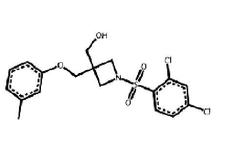 Cc1cccc(OCC2(CO)CN(S(=O)(=O)c3ccc(Cl)cc3Cl)C2)c1